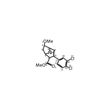 COC(=O)C1C2CC(OC)C(CC1c1ccc(Cl)c(Cl)c1)N2